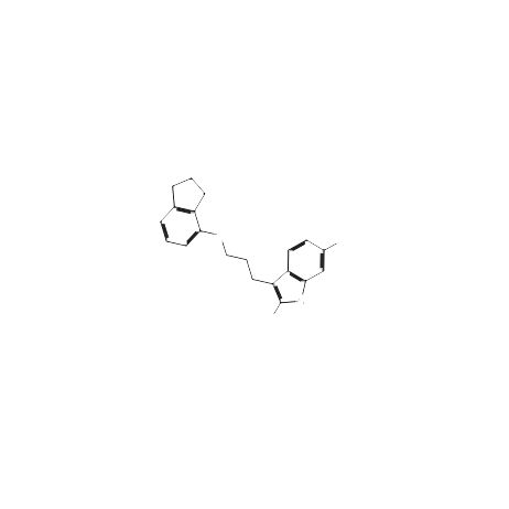 O=C(O)c1[nH]c2cc(Cl)ccc2c1CCCOc1cccc2c1CCC2